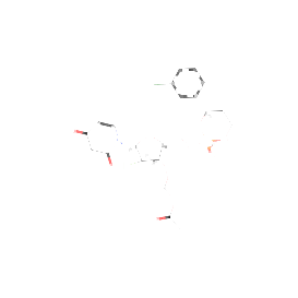 CC(=O)OCO[C@@H]1[C@@H](CO[P@@]2(=O)OCC[C@@H](c3cccc(Cl)c3)O2)O[C@@H](N2C=CC(=O)CC2=O)[C@]1(C)F